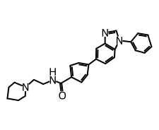 O=C(NCCN1CCCCC1)c1ccc(-c2ccc3c(c2)ncn3-c2ccccc2)cc1